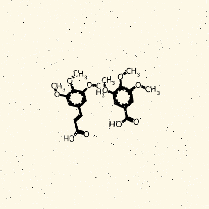 COc1cc(C(=O)O)cc(OC)c1OC.COc1cc(C=CC(=O)O)cc(OC)c1OC